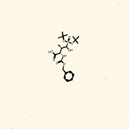 C[C@@H](C(O)P(=O)(OC(C)(C)C)OC(C)(C)C)[C@H](NC(=O)OCc1ccccc1)C(=O)O